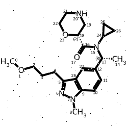 COCCCc1nn(C)c2ccc([C@@H](C)N(C(=O)[C@H]3CNCCO3)C3CC3)cc12